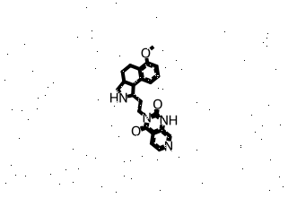 COc1cccc2c1CCC1CNC(CCn3c(=O)[nH]c4cnccc4c3=O)C21